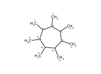 CC1C(C)C(C)C(C)N(C)C(C)C1C